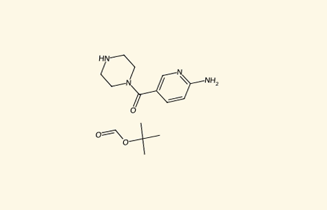 CC(C)(C)OC=O.Nc1ccc(C(=O)N2CCNCC2)cn1